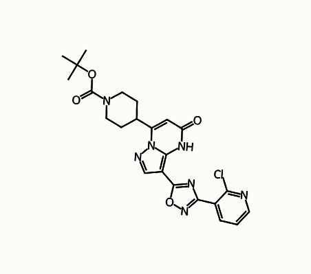 CC(C)(C)OC(=O)N1CCC(c2cc(=O)[nH]c3c(-c4nc(-c5cccnc5Cl)no4)cnn23)CC1